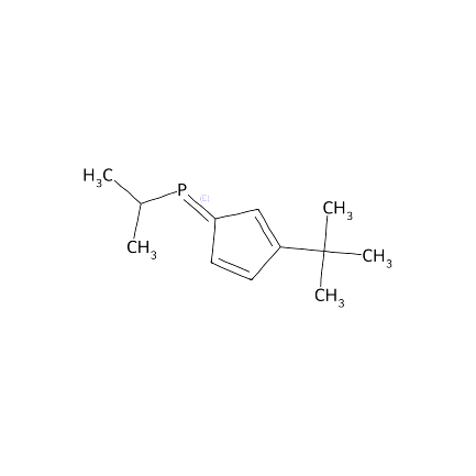 CC(C)/P=C1\C=CC(C(C)(C)C)=C1